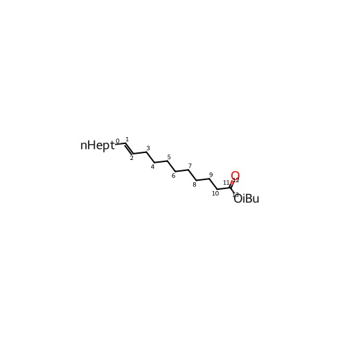 CCCCCCCC=CCCCCCCCCC(=O)OCC(C)C